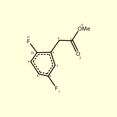 COC(=O)Cc1cc(F)ccc1F